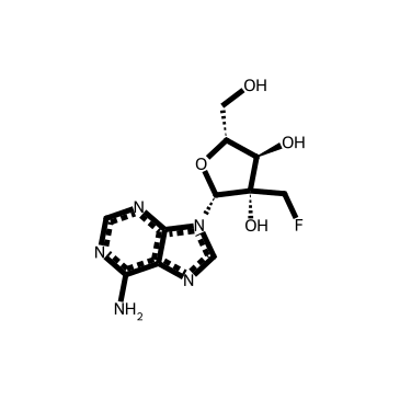 Nc1ncnc2c1ncn2[C@@H]1O[C@H](CO)[C@@H](O)[C@@]1(O)CF